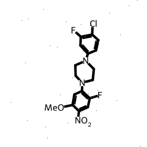 COc1cc(N2CCN(c3ccc(Cl)c(F)c3)CC2)c(F)cc1[N+](=O)[O-]